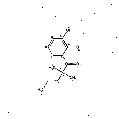 CCCC(C)(C)C(=O)c1cccc(O)c1O